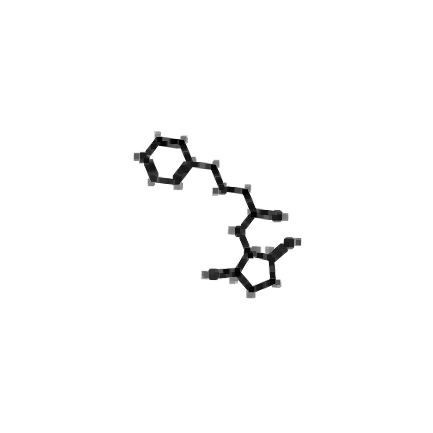 O=C(CSCc1ccncc1)ON1C(=O)CCC1=O